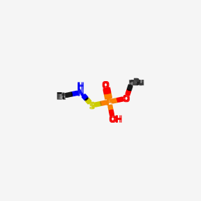 CCCCOP(=O)(O)SNCC